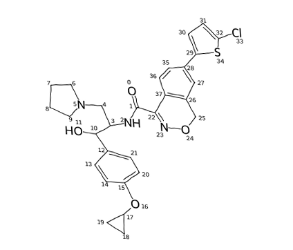 O=C(NC(CN1CCCC1)C(O)c1ccc(OC2CC2)cc1)C1=NOCc2cc(-c3ccc(Cl)s3)ccc21